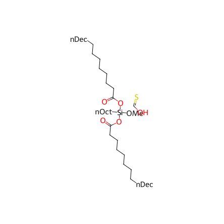 CCCCCCCCCCCCCCCCCC(=O)O[Si](CCCCCCCC)(OC)OC(=O)CCCCCCCCCCCCCCCCC.OC=S